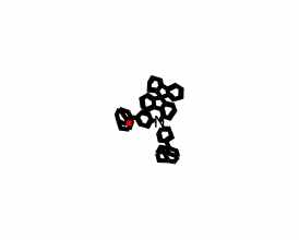 c1ccc2c(c1)-c1ccccc1C21c2ccccc2-c2c(N(c3ccc(C45CC6CC(CC(C6)C4)C5)cc3)c3ccc(C45CC6CC(CC(C6)C4)C5)cc3)cccc21